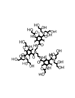 O=C(CO)Nc1c(I)c(C(=O)NCCN(CCNC(=O)c2c(I)c(NC(=O)CO)c(I)c(C(=O)N(CC(O)CO)CC(O)CO)c2I)C(=O)c2c(I)c(NC(=O)CO)c(I)c(C(=O)N(CC(O)CO)CC(O)CO)c2I)c(I)c(C(=O)N(CC(O)CO)CC(O)CO)c1I